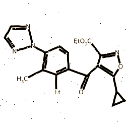 CCOC(=O)c1noc(C2CC2)c1C(=O)c1ccc(-n2nccn2)c(C)c1CC